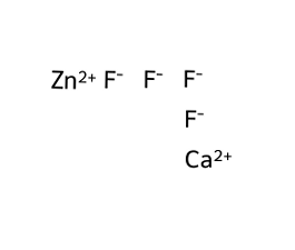 [Ca+2].[F-].[F-].[F-].[F-].[Zn+2]